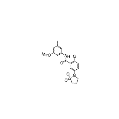 COc1cc(C)cc(NC(=O)c2cc(N3CCCS3(=O)=O)ccc2Cl)c1